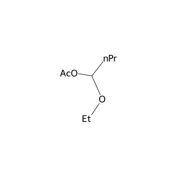 CCCC(OCC)OC(C)=O